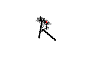 CCCCCCCCCCCCCCCC(=O)O[C@H](CCCCCCCCC)CC(=O)OC[C@H]1O[C@@H](S)[C@H](NC(C)=O)[C@H](OC(C)C(=O)N[C@@H](C)C(=O)N[C@H](CCC(=O)O)C(N)=O)[C@@H]1O